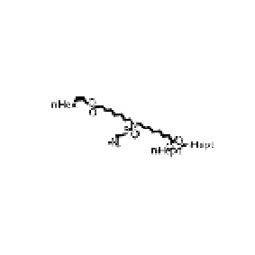 CCCCCC/C=C\COC(=O)CCCCCCCN(CCCCCCCC(=O)OC(CCCCCCC)CCCCCCC)C(=O)SCCN(C)C